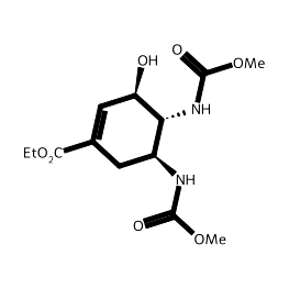 CCOC(=O)C1=C[C@@H](O)[C@H](NC(=O)OC)[C@@H](NC(=O)OC)C1